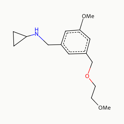 COCCOCc1cc(CNC2CC2)cc(OC)c1